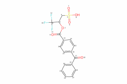 O=C(OC(CS(=O)(=O)O)C(F)(F)F)c1ccc(C(=O)c2ccccc2)cc1